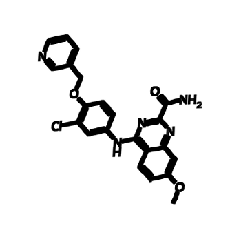 COc1[c]cc2c(Nc3ccc(OCc4cccnc4)c(Cl)c3)nc(C(N)=O)nc2c1